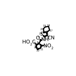 N#Cc1c(NC(=O)c2c(C(=O)O)cccc2[N+](=O)[O-])sc2c1CCCC2